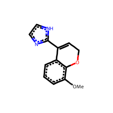 COc1cccc2c1OCC=C2c1ncc[nH]1